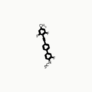 Cc1cc(F)c(C#Cc2ccc(-c3ccc(N=C=S)c(F)c3)cc2)c(F)c1